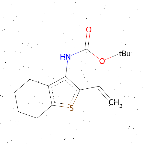 C=Cc1sc2c(c1NC(=O)OC(C)(C)C)CCCC2